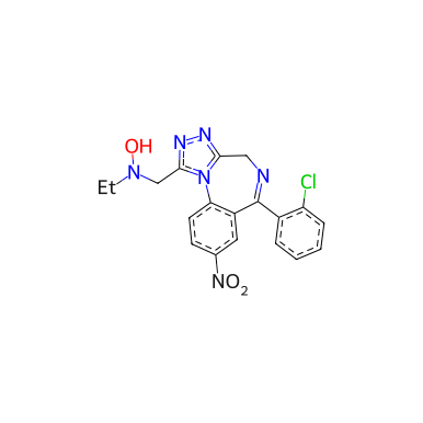 CCN(O)Cc1nnc2n1-c1ccc([N+](=O)[O-])cc1C(c1ccccc1Cl)=NC2